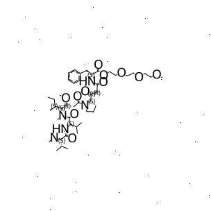 CC[C@H](C)[C@@H]([C@@H](CC(=O)N1CCC[C@H]1[C@H](OC)[C@@H](C)C(=O)N[C@@H](Cc1ccccc1)C(=O)OCCOCCOCCOC)OC)N(C)C(=O)[C@@H](NC(=O)[C@H](C(C)C)N(C)C)C(C)C